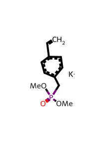 C=Cc1ccc(CP(=O)(OC)OC)cc1.[K]